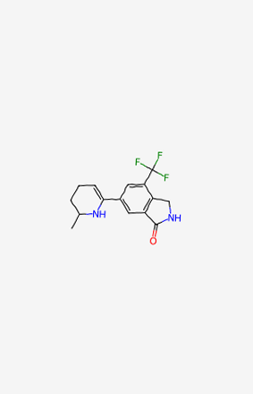 CC1CCC=C(c2cc3c(c(C(F)(F)F)c2)CNC3=O)N1